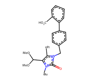 CCCc1c(C(OC)OC)n(C(C)CC)c(=O)n1Cc1ccc(-c2ccccc2C(=O)O)cc1